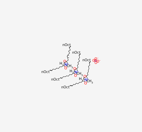 CCCCCCCCC=CCCCCCCCC(=O)C[N+](C)(C)C(=O)CCCCCCCC=CCCCCCCCC.CCCCCCCCC=CCCCCCCCC(=O)C[N+](C)(C)C(=O)CCCCCCCC=CCCCCCCCC.CCCCCCCCC=CCCCCCCCC(=O)C[N+](C)(C)C(=O)CCCCCCCC=CCCCCCCCC.O=P([O-])([O-])[O-]